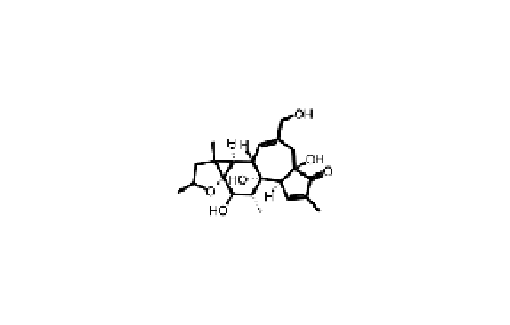 CC1=C[C@H]2[C@@]3(O)[C@H](C)[C@@H](O)[C@@]45OC(C)C[C@]4(C)[C@H]5[C@@H]3C=C(CO)C[C@]2(O)C1=O